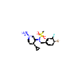 CS(=O)(=O)N(Cc1ccc(Br)c(F)c1)c1c[n+](N)ccc1C1CC1